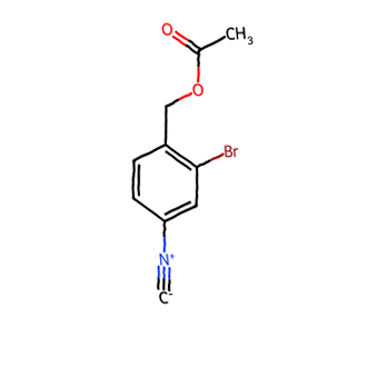 [C-]#[N+]c1ccc(COC(C)=O)c(Br)c1